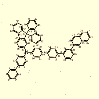 c1ccc(-c2ccc(N(c3ccc(-c4ccc(-c5cccc(-c6ccc7ccccc7c6)c5)cc4)cc3)c3ccc4c(c3)C(c3ccccc3)(c3ccccc3)c3ccccc3-4)cc2)cc1